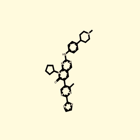 Cc1nc(-c2nccs2)ncc1-c1cc2cnc(Nc3ccc(C4CCN(C)CC4)cc3)nc2n(C2CCCC2)c1=O